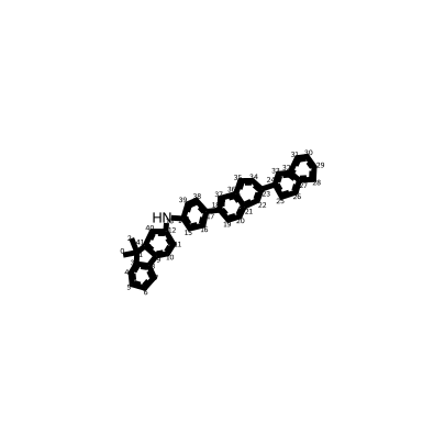 CC1(C)c2ccccc2-c2ccc(Nc3ccc(-c4ccc5cc(-c6ccc7ccccc7c6)ccc5c4)cc3)cc21